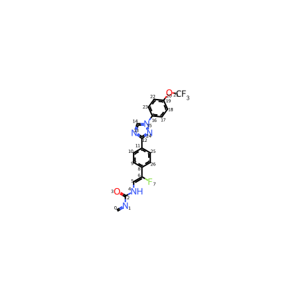 C=NC(=O)N/C=C(\F)c1ccc(-c2ncn(-c3ccc(OC(F)(F)F)cc3)n2)cc1